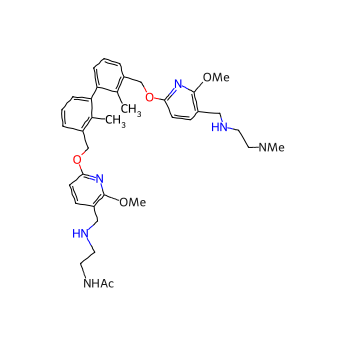 CNCCNCc1ccc(OCc2cccc(-c3cccc(COc4ccc(CNCCNC(C)=O)c(OC)n4)c3C)c2C)nc1OC